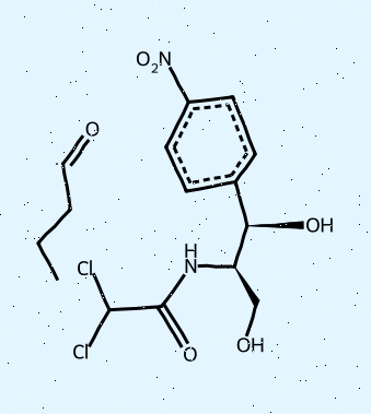 CCC[C]=O.O=C(N[C@H](CO)[C@H](O)c1ccc([N+](=O)[O-])cc1)C(Cl)Cl